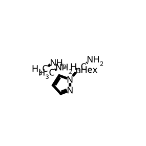 CCCCCCn1cccn1.CN.CN.CN